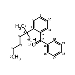 CCCCC(C)(C)c1ccccc1C(=O)c1ccccc1